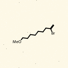 C=C(Br)CCCCCCCOC